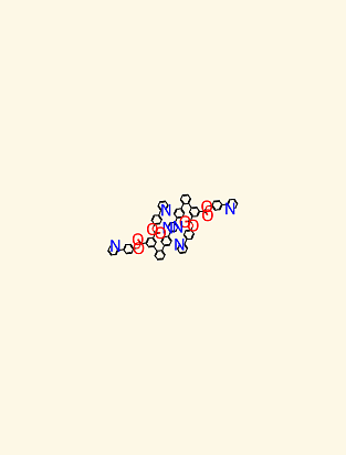 O=C(Oc1ccc(-c2ccccn2)cc1)c1cc(C(=O)Oc2ccc(-c3ccccn3)cc2)cc(-c2ccccc2-c2ccc(-c3cnc(-c4ccc(-c5ccccc5-c5cc(C(=O)Oc6ccc(-c7ccccn7)cc6)cc(C(=O)Oc6ccc(-c7ccccn7)cc6)c5)cc4)cn3)cc2)c1